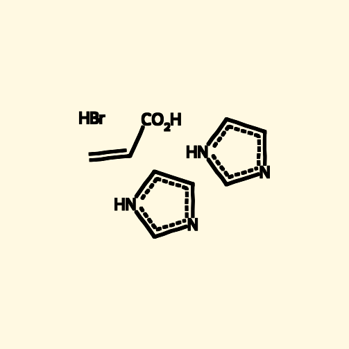 Br.C=CC(=O)O.c1c[nH]cn1.c1c[nH]cn1